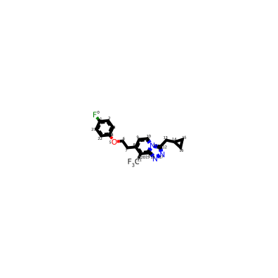 Fc1ccc(OCCc2ccn3c(CC4CC4)nnc3c2C(F)(F)F)cc1